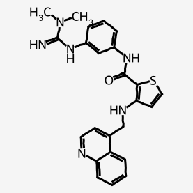 CN(C)C(=N)Nc1cccc(NC(=O)c2sccc2NCc2ccnc3ccccc23)c1